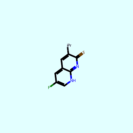 CC(C)c1cc2cc(F)c[nH]c-2nc1=S